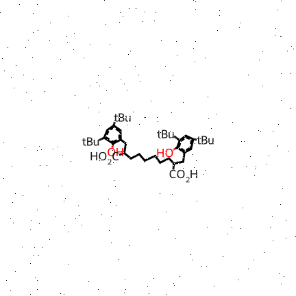 CC(C)(C)c1cc(CC(CCCCCCC(Cc2cc(C(C)(C)C)cc(C(C)(C)C)c2O)C(=O)O)C(=O)O)c(O)c(C(C)(C)C)c1